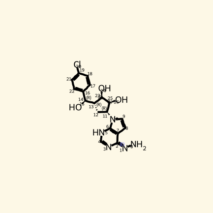 N/N=c1/nc[nH]c2c1ccn2[C@@H]1C[C@H]([C@@H](O)c2ccc(Cl)cc2)[C@@H](O)[C@H]1O